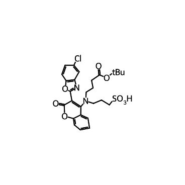 CC(C)(C)OC(=O)CCCN(CCCS(=O)(=O)O)c1c(-c2nc3cc(Cl)ccc3o2)c(=O)oc2ccccc12